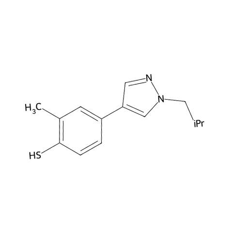 Cc1cc(-c2cnn(CC(C)C)c2)ccc1S